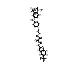 O=C(NCCOC1CCC(Nc2ccc([N+](=O)[O-])c(C(F)(F)F)c2)CC1)C(=O)NCc1cc2cc(C(F)(F)F)ccc2o1